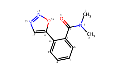 CN(C)C(=O)c1ccccc1-c1cnno1